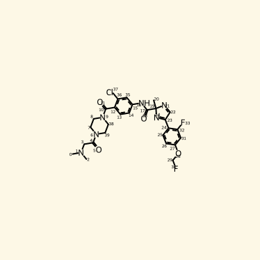 CN(C)CC(=O)N1CCN(C(=O)c2ccc(NC(=O)C3(C)N=CC(c4ccc(OCF)cc4F)=N3)cc2Cl)CC1